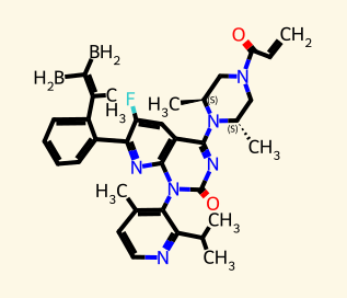 BC(B)=C(C)c1ccccc1-c1nc2c(cc1F)c(N1[C@@H](C)CN(C(=O)C=C)C[C@@H]1C)nc(=O)n2-c1c(C)ccnc1C(C)C